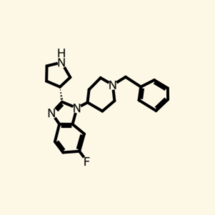 Fc1ccc2nc([C@@H]3CCNC3)n(C3CCN(Cc4ccccc4)CC3)c2c1